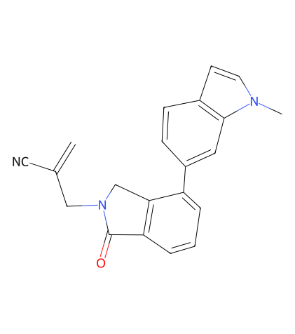 C=C(C#N)CN1Cc2c(cccc2-c2ccc3ccn(C)c3c2)C1=O